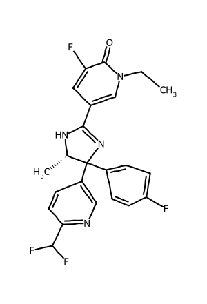 CCn1cc(C2=NC(c3ccc(F)cc3)(c3ccc(C(F)F)nc3)[C@H](C)N2)cc(F)c1=O